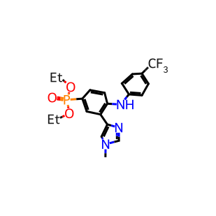 CCOP(=O)(OCC)c1ccc(Nc2ccc(C(F)(F)F)cc2)c(-c2cn(C)cn2)c1